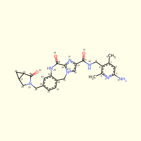 Cc1cc(N)nc(C)c1CNC(=O)c1cn2c(n1)C(=O)Nc1cc(CN3CC4CC4C3=O)ccc1C2